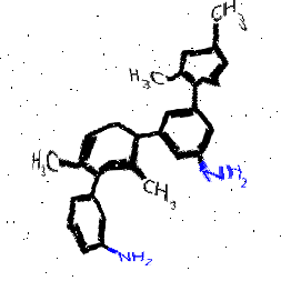 CC1=CCC(c2cc(N)cc(-c3ccc(C)cc3C)c2)C(C)=C1c1cccc(N)c1